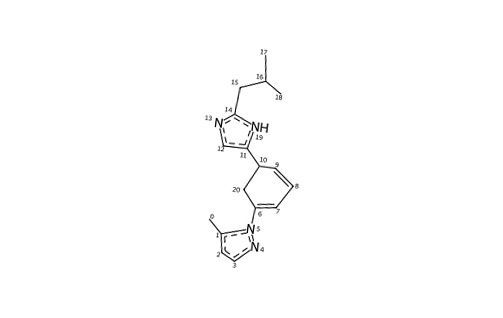 Cc1ccnn1C1=CC=CC(c2cnc(CC(C)C)[nH]2)C1